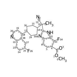 COC(=O)c1ccc2nc(C(C)(C#N)C3CCC(c4ccnc5ccc(F)cc45)CC3)[nH]c2c1F